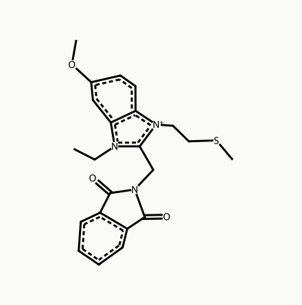 CCn1c(CN2C(=O)c3ccccc3C2=O)[n+](CCSC)c2ccc(OC)cc21